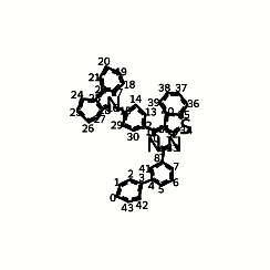 c1ccc(-c2cccc(-c3nc(-c4ccc(-n5c6ccccc6c6ccccc65)cc4)c4c(n3)sc3ccccc34)c2)cc1